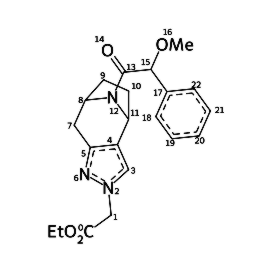 CCOC(=O)Cn1cc2c(n1)CC1CCC2N1C(=O)C(OC)c1ccccc1